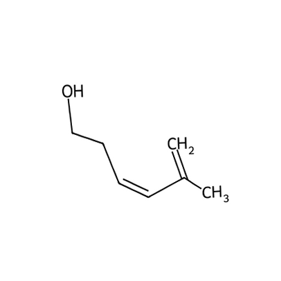 C=C(C)/C=C\CCO